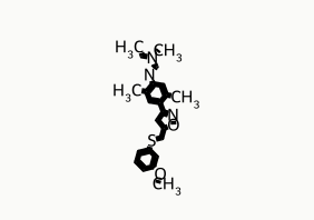 CCN(C)C=Nc1cc(C)c(C2=NOC(CSc3cccc(OC)c3)C2)cc1C